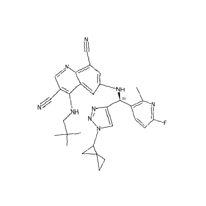 Cc1nc(F)ccc1[C@H](Nc1cc(C#N)c2ncc(C#N)c(NCC(C)(C)C)c2c1)c1cn(C2CC23CC3)nn1